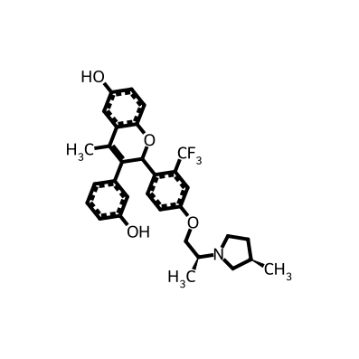 CC1=C(c2cccc(O)c2)C(c2ccc(OC[C@H](C)N3CC[C@@H](C)C3)cc2C(F)(F)F)Oc2ccc(O)cc21